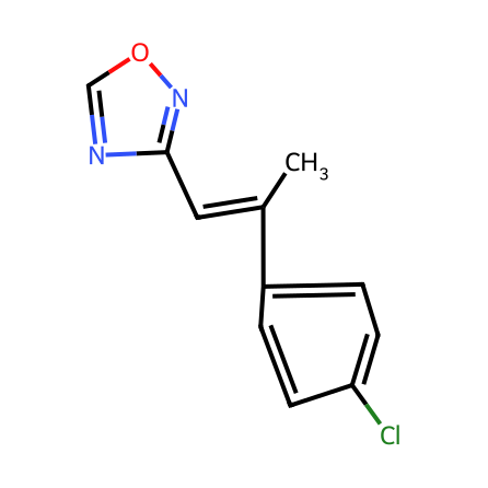 CC(=Cc1ncon1)c1ccc(Cl)cc1